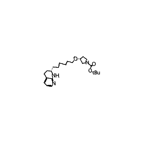 CC(C)(C)OC(=O)N1CC[C@@H](OCCCCCC[C@H]2CCc3cccnc3N2)C1